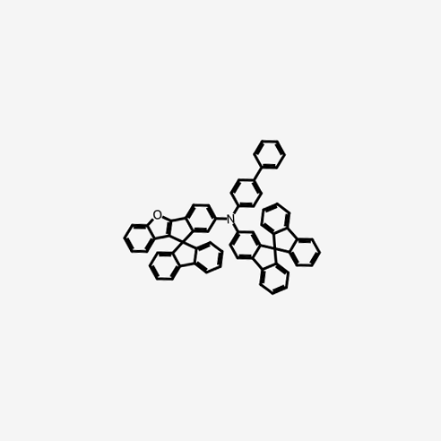 c1ccc(-c2ccc(N(c3ccc4c(c3)C3(c5ccccc5-c5ccccc53)c3ccccc3-4)c3ccc4c(c3)C3(c5ccccc5-c5ccccc53)c3c-4oc4ccccc34)cc2)cc1